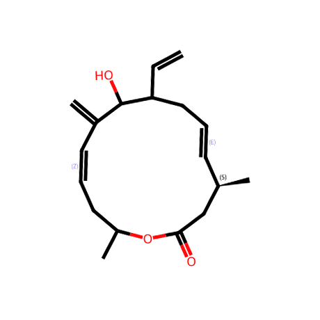 C=CC1C/C=C/[C@@H](C)CC(=O)OC(C)C/C=C\C(=C)C1O